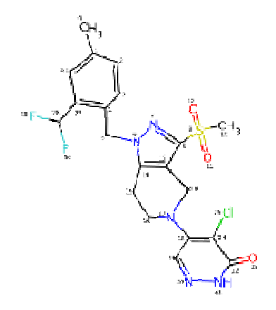 Cc1ccc(Cn2nc(S(C)(=O)=O)c3c2CCN(c2cn[nH]c(=O)c2Cl)C3)c(C(F)F)c1